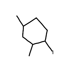 CC1CCC(I)C(C)C1